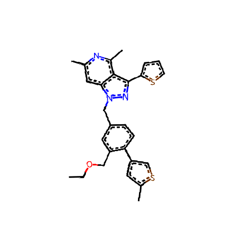 CCOCc1cc(Cn2nc(-c3cccs3)c3c(C)nc(C)cc32)ccc1-c1csc(C)c1